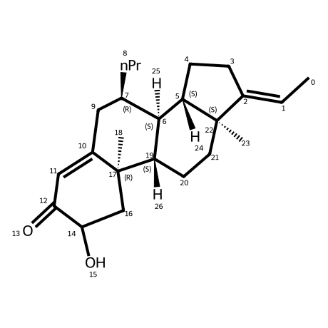 CC=C1CC[C@H]2[C@@H]3[C@H](CCC)CC4=CC(=O)C(O)C[C@]4(C)[C@H]3CC[C@]12C